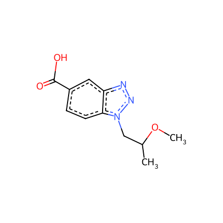 COC(C)Cn1nnc2cc(C(=O)O)ccc21